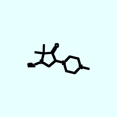 CN1CCN(C2CN(C(C)(C)C)C(C)(C)C2=O)CC1